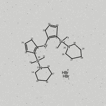 Br.Br.C[Si](C)(C1=[C]([Zr][C]2=C([Si](C)(C)N3CCCCC3)C=CC2)CC=C1)N1CCCCC1